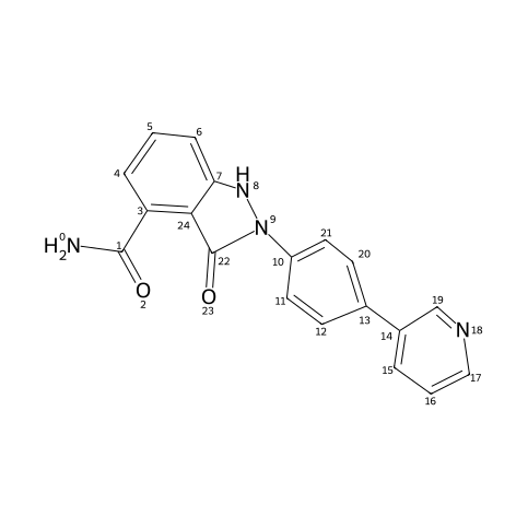 NC(=O)c1cccc2[nH]n(-c3ccc(-c4cccnc4)cc3)c(=O)c12